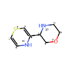 C1=CSC=C(C2COCCN2)N1